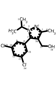 Cc1nn(C(C)C)c(-c2cc(Cl)cc(Cl)c2)c1CO